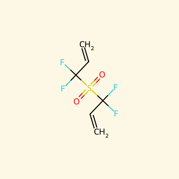 C=CC(F)(F)S(=O)(=O)C(F)(F)C=C